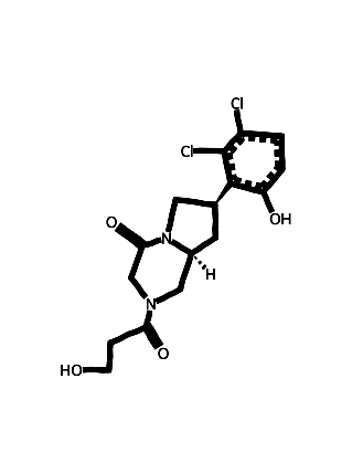 O=C(CCO)N1CC(=O)N2C[C@@H](c3c(O)ccc(Cl)c3Cl)C[C@H]2C1